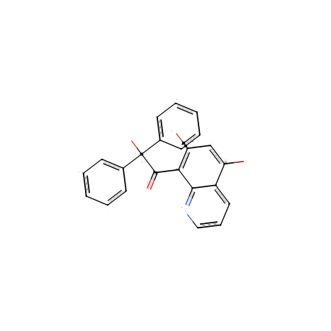 O=C(c1c(Br)cc(Br)c2cccnc12)C(O)(c1ccccc1)c1ccccc1